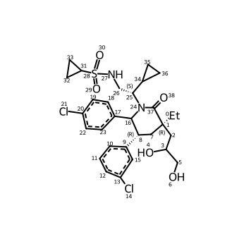 CC[C@]1(CC(O)CO)C[C@H](c2cccc(Cl)c2)C(c2ccc(Cl)cc2)N([C@H](CNS(=O)(=O)C2CC2)C2CC2)C1=O